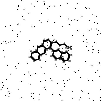 CCCCc1ccc2cc3ccccc3cc2c1-c1ccc2ccccc2c1